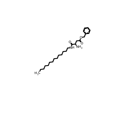 CCCCCCCCCCCCCCNC(=O)C(N)CC(=O)OCc1ccccc1